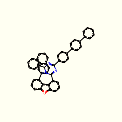 c1ccc(-c2ccc(-c3ccc(C4=NC(c5ccccc5)NC(c5cccc6oc7cccc(-c8ccc9ccccc9c8)c7c56)=N4)cc3)cc2)cc1